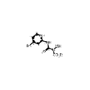 CCOC(=O)N(S)C(=O)Nc1cc(Br)ccn1